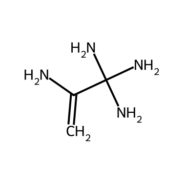 C=C(N)C(N)(N)N